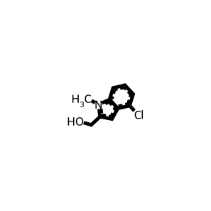 Cn1c(CO)cc2c(Cl)cccc21